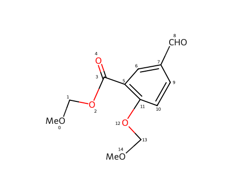 COCOC(=O)c1cc(C=O)ccc1OCOC